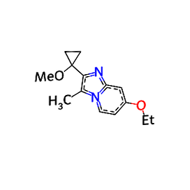 CCOc1ccn2c(C)c(C3(OC)CC3)nc2c1